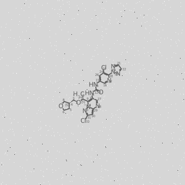 C[C@H](OC[C@H]1CCOC1)c1c(NC(=O)Nc2cnc(-n3nccn3)c(Cl)c2)cnc2cc(Cl)nn12